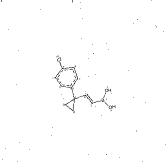 OB(O)C=CC1(c2ccc(Cl)cc2)CC1